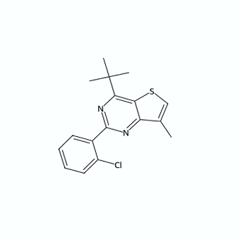 Cc1csc2c(C(C)(C)C)nc(-c3ccccc3Cl)nc12